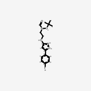 CC(C)(C)ON(C=O)CCOc1cc(-c2ccc(F)cc2)on1